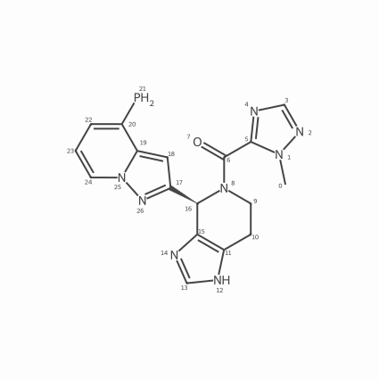 Cn1ncnc1C(=O)N1CCc2[nH]cnc2[C@H]1c1cc2c(P)cccn2n1